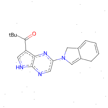 CC(C)(C)C(=O)c1c[nH]c2ncc(N3C=C4CC=CC=C4C3)nc12